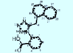 O=C(O)c1ccccc1-n1nnnc1Cc1cccc2ccccc12